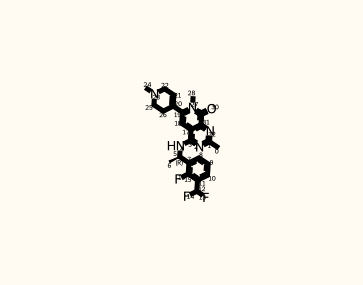 Cc1nc(N[C@H](C)c2cccc(C(F)F)c2F)c2cc(C3=CCN(C)CC3)n(C)c(=O)c2n1